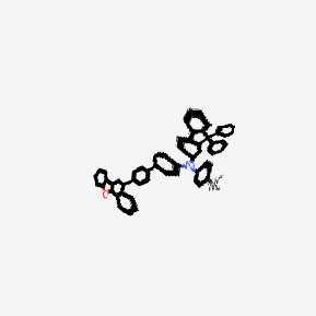 [C-]#[N+]c1ccc(N(c2ccc(-c3ccc(-c4cc5c6ccccc6oc5c5ccccc45)cc3)cc2)c2ccc3c(c2)C(c2ccccc2)(c2ccccc2)c2ccccc2-3)cc1